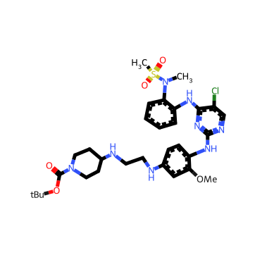 COc1cc(NCCNC2CCN(C(=O)OC(C)(C)C)CC2)ccc1Nc1ncc(Cl)c(Nc2ccccc2N(C)S(C)(=O)=O)n1